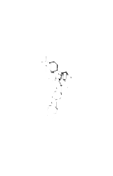 COc1nc(C(C)C)ccc1-c1cnc2sc(N3CCC(N4CCOCC4)CC3)nn12